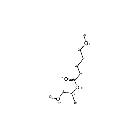 COCCCCC(=O)OC(C)COC